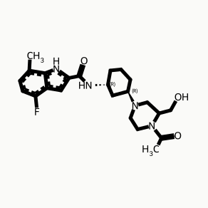 CC(=O)N1CCN([C@@H]2CCC[C@@H](NC(=O)c3cc4c(F)ccc(C)c4[nH]3)C2)CC1CO